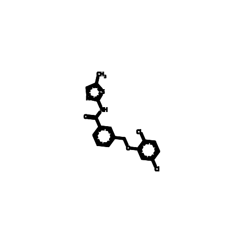 Cc1cnc(NC(=O)c2cccc(COc3cc(Cl)ccc3Cl)c2)s1